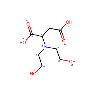 O=C(O)CC(C(=O)O)N(CCO)CCO